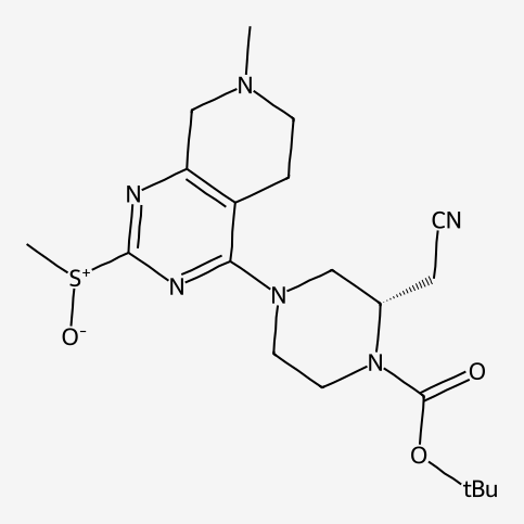 CN1CCc2c(nc([S+](C)[O-])nc2N2CCN(C(=O)OC(C)(C)C)[C@@H](CC#N)C2)C1